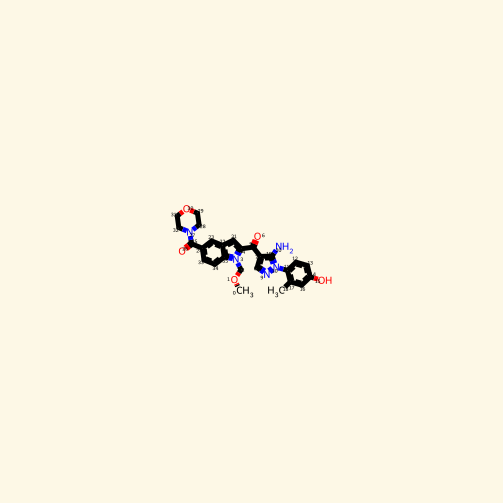 COCn1c(C(=O)c2cnn(-c3ccc(O)cc3C)c2N)cc2cc(C(=O)N3CCOCC3)ccc21